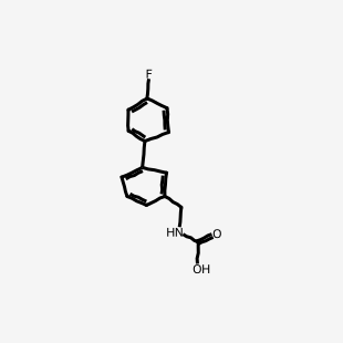 O=C(O)NCc1cccc(-c2ccc(F)cc2)c1